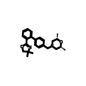 C[C@@H]1CN(Cc2ccc(-c3ccccc3C3=NC(C)(C)CO3)cc2)C[C@H](C)O1